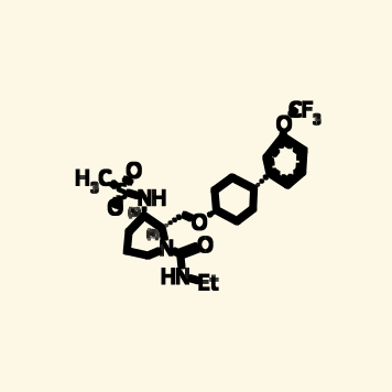 CCNC(=O)N1CCC[C@H](NS(C)(=O)=O)[C@@H]1CO[C@H]1CC[C@@H](c2cccc(OC(F)(F)F)c2)CC1